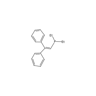 CCP(C=C(c1ccccc1)c1ccccc1)CC